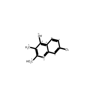 Cc1c(C(=O)O)nc2cc(Cl)ccc2c1O